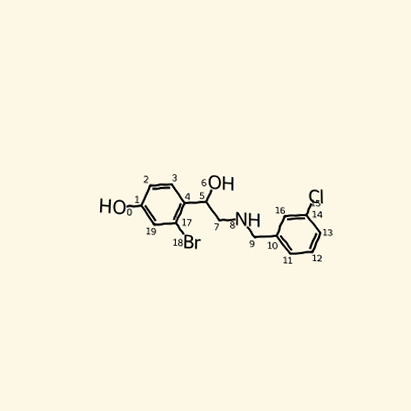 Oc1ccc(C(O)CNCc2cccc(Cl)c2)c(Br)c1